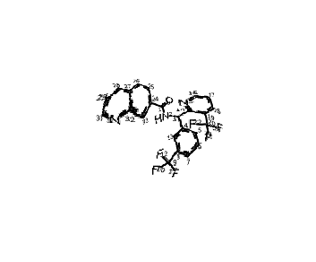 O=C(NC(c1cccc(C(F)(F)F)c1)c1ncccc1C(F)(F)F)c1ccc2cccnc2c1